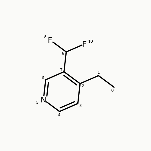 CCc1ccncc1C(F)F